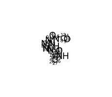 Cn1c(C(=O)NCC2CCOCC2)nc2c(N3CCC4(CC3)C(=O)Nc3ccccc34)ncnc21